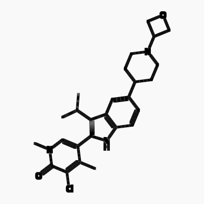 Cc1c(-c2[nH]c3ccc(C4CCN(C5COC5)CC4)cc3c2C(C)C)cn(C)c(=O)c1Cl